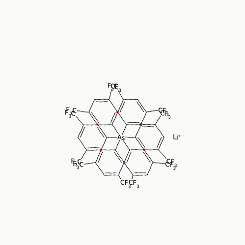 FC(F)(F)c1cc(C(F)(F)F)cc([As-](c2cc(C(F)(F)F)cc(C(F)(F)F)c2)(c2cc(C(F)(F)F)cc(C(F)(F)F)c2)(c2cc(C(F)(F)F)cc(C(F)(F)F)c2)(c2cc(C(F)(F)F)cc(C(F)(F)F)c2)c2cc(C(F)(F)F)cc(C(F)(F)F)c2)c1.[Li+]